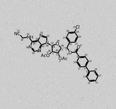 CC(=O)O[C@@H]1[C@H](OC(C)=O)[C@@H](C(OC(=O)c2ccc(-c3ccccc3)cc2)c2ccc(Cl)cc2)O[C@@H]1n1cnc2c(NCC#N)ncnc21